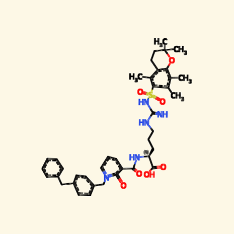 Cc1c(C)c(S(=O)(=O)NC(=N)NCCC[C@H](NC(=O)c2cccn(Cc3ccc(Cc4ccccc4)cc3)c2=O)C(=O)O)c(C)c2c1OC(C)(C)CC2